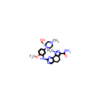 CN1CCN(c2ccc(OC(F)(F)F)c(Nc3ncc4c(n3)-c3c(c(C(N)=O)nn3C)CC4)c2)[C@H](CO)C1